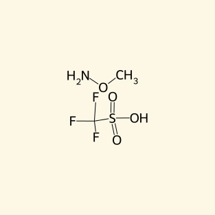 CON.O=S(=O)(O)C(F)(F)F